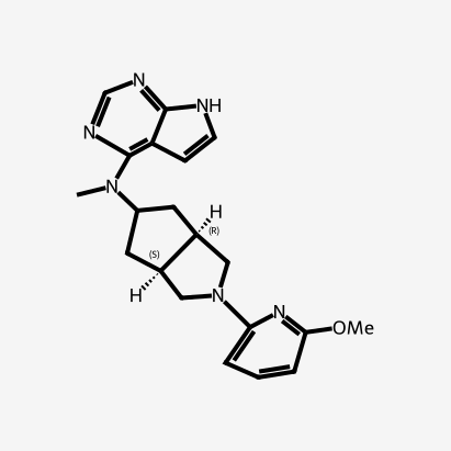 COc1cccc(N2C[C@H]3CC(N(C)c4ncnc5[nH]ccc45)C[C@H]3C2)n1